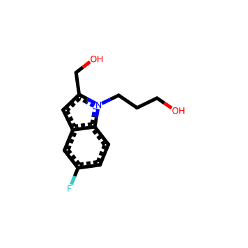 OCCCn1c(CO)cc2cc(F)ccc21